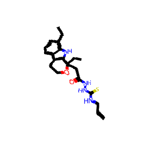 C=CCNC(=S)NNC(=O)CC1(CC)OCCc2c1[nH]c1c(CC)cccc21